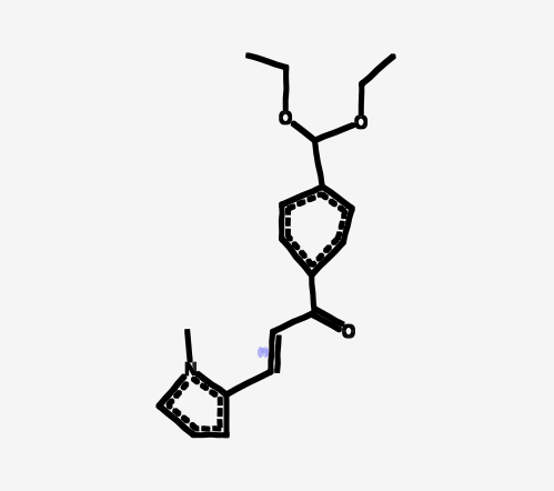 CCOC(OCC)c1ccc(C(=O)/C=C/c2cccn2C)cc1